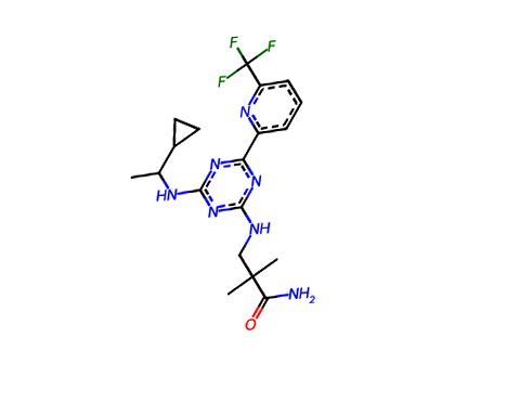 CC(Nc1nc(NCC(C)(C)C(N)=O)nc(-c2cccc(C(F)(F)F)n2)n1)C1CC1